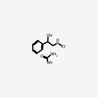 CCCC(N)=O.CCNCC(O)c1ccccc1